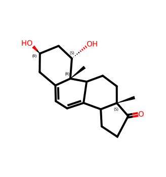 C[C@]12C(=CC=C3C1CC[C@]1(C)C(=O)CCC31)C[C@@H](O)C[C@@H]2O